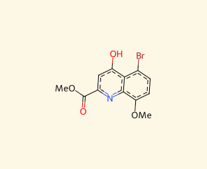 COC(=O)c1cc(O)c2c(Br)ccc(OC)c2n1